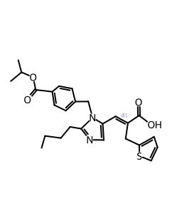 CCCCc1ncc(/C=C(\Cc2cccs2)C(=O)O)n1Cc1ccc(C(=O)OC(C)C)cc1